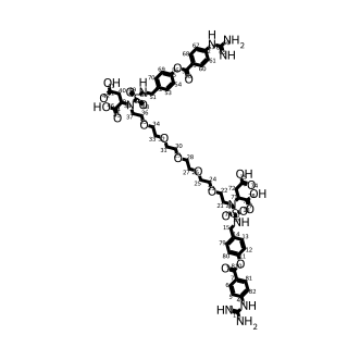 N=C(N)Nc1ccc(C(=O)Oc2ccc(CNS(=O)(=O)N(CCOCCOCCOCCOCCOCCN(C(CC(=O)O)C(=O)O)S(=O)(=O)NCc3ccc(OC(=O)c4ccc(NC(=N)N)cc4)cc3)C(CC(=O)O)C(=O)O)cc2)cc1